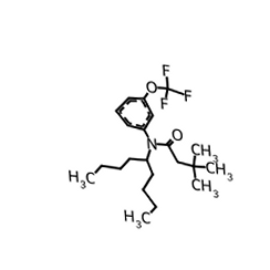 CCCCC(CCCC)N(C(=O)CC(C)(C)C)c1cccc(OC(F)(F)F)c1